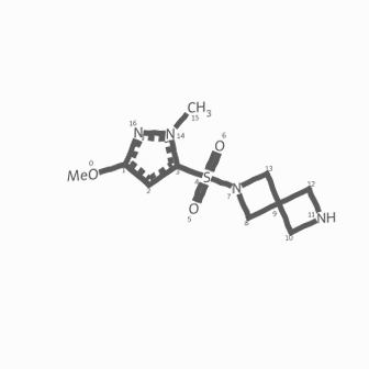 COc1cc(S(=O)(=O)N2CC3(CNC3)C2)n(C)n1